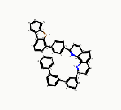 c1ccc(-c2cccc(-c3cccc(-c4ccc5ccc6ccc(-c7ccc(-c8cccc9c8sc8ccccc89)cc7)nc6c5n4)c3)c2)cc1